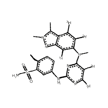 [2H]c1nc(Nc2ccc(C)c(S(N)(=O)=O)c2)nc(N(C)c2c([2H])c([2H])c3c(C)n(C)nc3c2[2H])c1[2H]